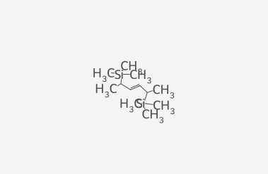 CC(C=CC(C)[Si](C)(C)C)[Si](C)(C)C